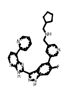 Fc1cc2[nH]nc(-c3nc4c(-c5ccccn5)ccnc4[nH]3)c2cc1-c1cncc(CNCC2CCCC2)c1